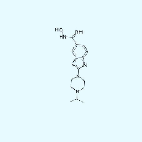 CC(C)N1CCN(c2nc3ccc(C(=N)NO)cc3s2)CC1